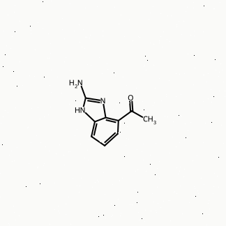 CC(=O)c1cccc2[nH]c(N)nc12